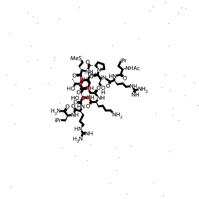 CSCC[C@H](NC(=O)[C@@H]1CCCN1C(=O)[C@H](CO)NC(=O)[C@H](CCCNC(=N)N)NC(=O)[C@H](CC(C)C)NC(C)=O)C(=O)N[C@H](C(=O)N[C@@H](CC(=O)O)C(=O)N[C@@H](CCCCN)C(=O)N[C@@H](Cc1ccc(O)cc1)C(=O)N[C@@H](CCCNC(=N)N)C(=O)N[C@@H](CC(C)C)C(N)=O)[C@@H](C)O